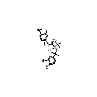 COc1ccc(C(C)(C)CC(O)(C(=O)Nc2ccc3c(c2)COC3=O)C(F)(F)F)cc1F